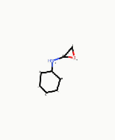 C1CCC(NC2CO2)CC1